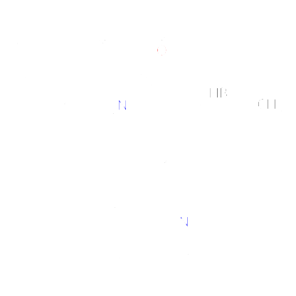 CBc1cc(-c2ccccn2)cn(-c2ccccc2)c1=O